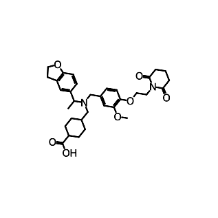 COc1cc(CN(CC2CCC(C(=O)O)CC2)C(C)c2ccc3c(c2)CCO3)ccc1OCCN1C(=O)CCCC1=O